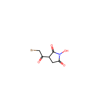 O=C(CBr)C1CC(=O)N(O)C1=O